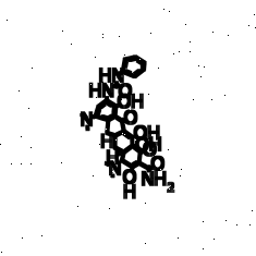 CN(C)c1cc(NC(=O)Nc2ccccc2)c(O)c2c1C[C@H]1C[C@H]3[C@H](N(C)C)C(O)=C(C(N)=O)C(=O)[C@@]3(O)C(O)=C1C2=O